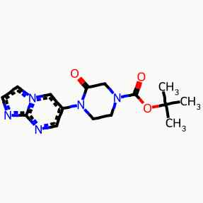 CC(C)(C)OC(=O)N1CCN(c2cnc3nccn3c2)C(=O)C1